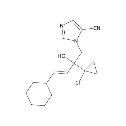 N#Cc1cncn1CC(O)(/C=C/C1CCCCC1)C1(Cl)CC1